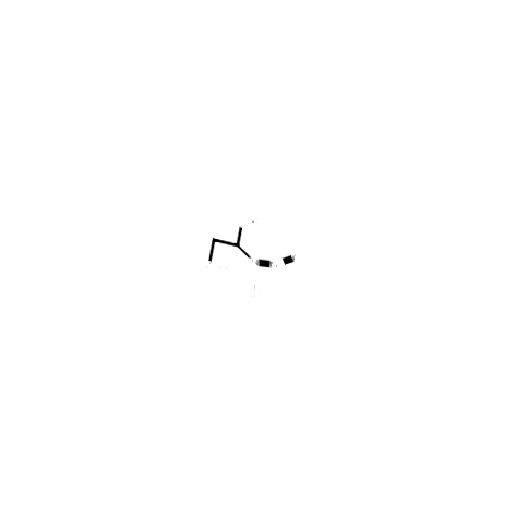 [H+].[H+].[N-]=[N+]=NC(CC(=O)[O-])C(=O)[O-]